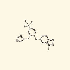 Cn1nnc2ccc(Oc3ccc(C(F)(F)F)cc3Cn3cncn3)cc21